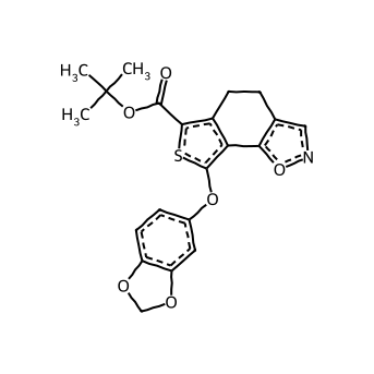 CC(C)(C)OC(=O)c1sc(Oc2ccc3c(c2)OCO3)c2c1CCc1cnoc1-2